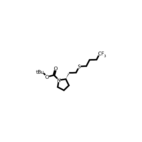 CC(C)(C)OC(=O)N1CCC[C@H]1CCSCCCC(F)(F)F